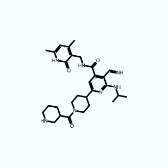 Cc1cc(C)c(CNC(=O)c2cc(C3CCN(C(=O)C4CCCNC4)CC3)nc(NC(C)C)c2C=N)c(=O)[nH]1